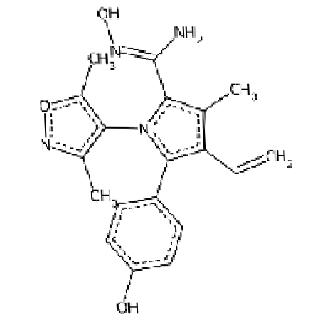 C=Cc1c(C)c(/C(N)=N/O)n(-c2c(C)noc2C)c1-c1ccc(O)cc1